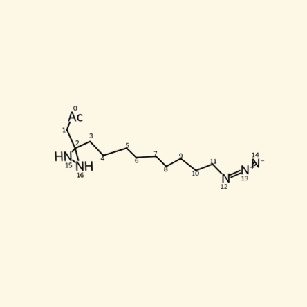 CC(=O)CC1(CCCCCCCCCN=[N+]=[N-])NN1